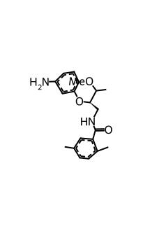 COC(C)[C@@H](CNC(=O)c1cc(C)ccc1C)Oc1cccc(N)c1